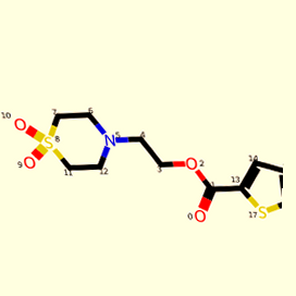 O=C(OCCN1CCS(=O)(=O)CC1)c1cccs1